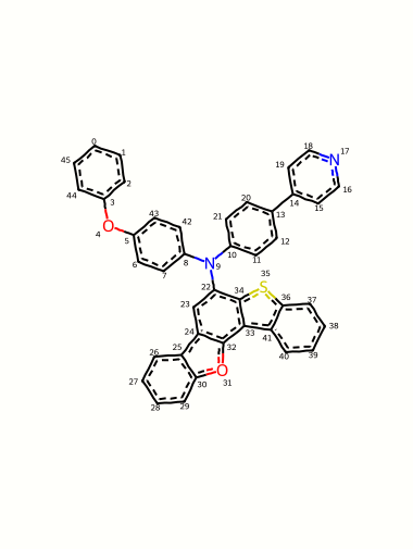 c1ccc(Oc2ccc(N(c3ccc(-c4ccncc4)cc3)c3cc4c5ccccc5oc4c4c3sc3ccccc34)cc2)cc1